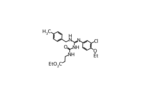 CCOC(=O)CCNC(=O)N/C(=N\c1ccc(OCC)c(Cl)c1)NCc1ccc(C)cc1